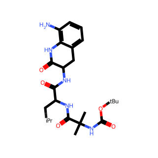 CC(C)CC(NC(=O)C(C)(C)NC(=O)OC(C)(C)C)C(=O)NC1Cc2cccc(N)c2NC1=O